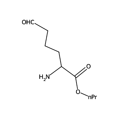 CCCOC(=O)C(N)CCCC=O